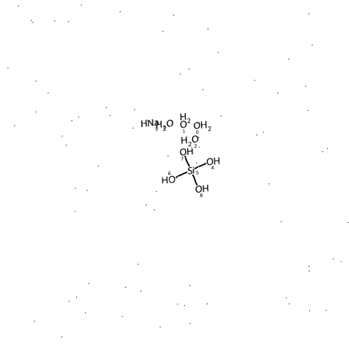 O.O.O.O.O[Si](O)(O)O.[NaH]